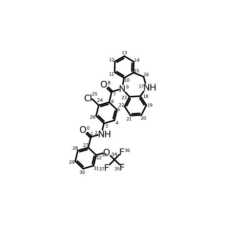 O=C(Nc1ccc(C(=O)N2c3ccccc3CNc3ccccc32)c(Cl)c1)c1ccccc1OC(F)(F)F